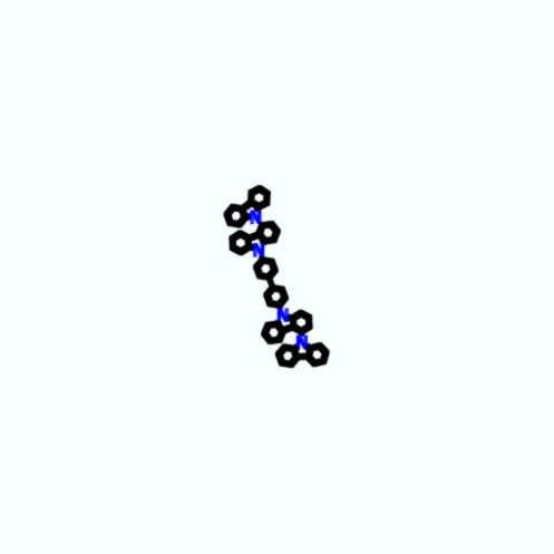 c1ccc2c(c1)c1ccccc1n2-c1cccc2c1c1ccccc1n2-c1ccc(-c2ccc(-n3c4ccccc4c4c(-n5c6ccccc6c6ccccc65)cccc43)cc2)cc1